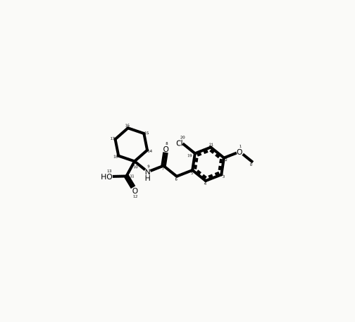 COc1ccc(CC(=O)NC2(C(=O)O)CCCCC2)c(Cl)c1